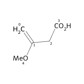 C=C(CC(=O)O)OC